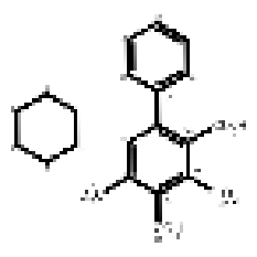 C1CCCCC1.O=C(O)c1cc(-c2ccccc2)c(C(=O)O)c(C(=O)O)c1C(=O)O